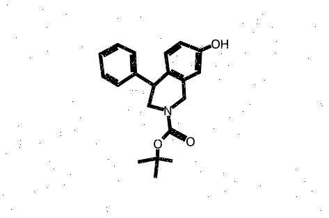 CC(C)(C)OC(=O)N1Cc2cc(O)ccc2C(c2ccccc2)C1